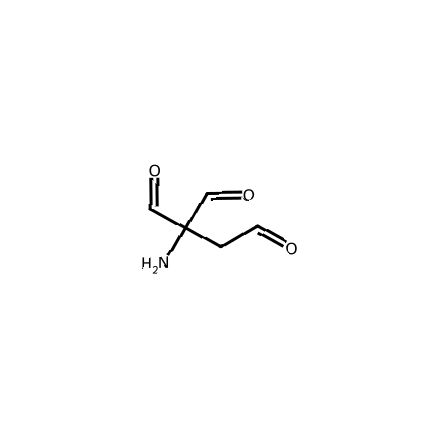 NC(C=O)(C=O)CC=O